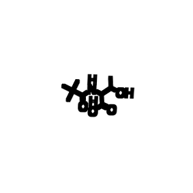 CC(O)C(NC(=O)C(C)(C)C)C(=O)O